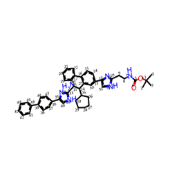 CC(C)(C)OC(=O)NCCc1nc(-c2ccc(-c3ccccc3)c(C(C3CCCCC3)[C@@H](N)c3nc(-c4ccc(-c5ccccc5)cc4)c[nH]3)c2)c[nH]1